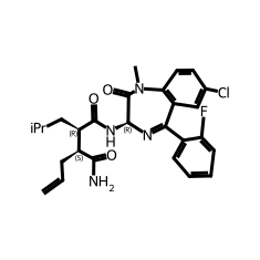 C=CC[C@H](C(N)=O)[C@@H](CC(C)C)C(=O)N[C@@H]1N=C(c2ccccc2F)c2cc(Cl)ccc2N(C)C1=O